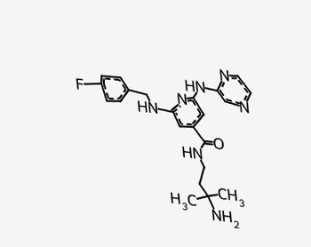 CC(C)(N)CCNC(=O)c1cc(NCc2ccc(F)cc2)nc(Nc2cnccn2)c1